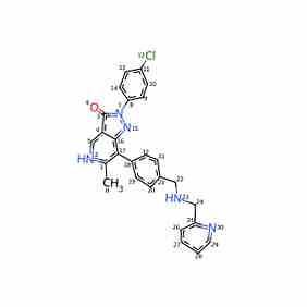 Cc1[nH]cc2c(=O)n(-c3ccc(Cl)cc3)nc-2c1-c1ccc(CNCc2ccccn2)cc1